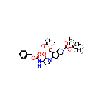 CC(=O)OCC1C2CN(C(=O)OC(C)(C)C)CC2CC1N1CCC(NC(=O)OCc2ccccc2)C1=O